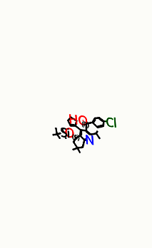 CC(C)c1nc2c(c(C3=CCCC3)c1[C@H](O)c1ccc(Cl)cc1)[C@@H](O[Si](C)(C)C(C)(C)C)CC(C)(C)C2